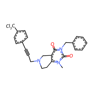 Cn1c2c(c(=O)n(Cc3ccccc3)c1=O)CN(CC#Cc1ccc(C(Cl)(Cl)Cl)cc1)CC2